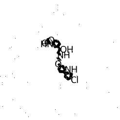 CS(=O)(=O)Nc1cccc(C(O)CNCCOc2ccc3c(c2)[nH]c2cc(Cl)ccc23)c1